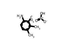 Cc1ccc(N)c(C)c1C.O=[N+]([O-])O